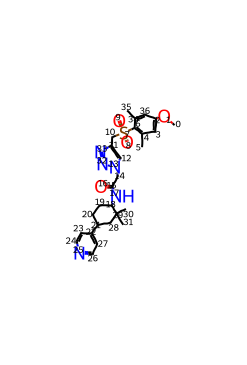 COc1cc(C)c(S(=O)(=O)Cc2cn(CC(=O)NC3CCC(c4ccncc4)CC3(C)C)nn2)c(C)c1